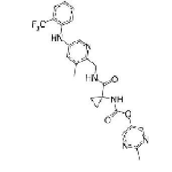 Cc1ncc(OC(=O)NC2(C(=O)NCc3ncc(Nc4ccccc4C(F)(F)F)cc3C)CC2)cn1